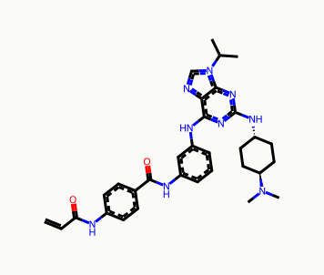 C=CC(=O)Nc1ccc(C(=O)Nc2cccc(Nc3nc(N[C@H]4CC[C@H](N(C)C)CC4)nc4c3ncn4C(C)C)c2)cc1